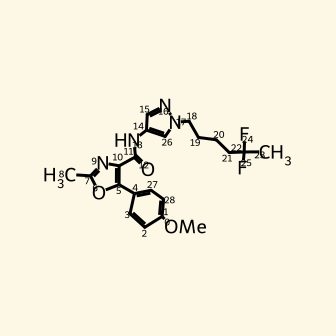 COc1ccc(-c2oc(C)nc2C(=O)Nc2cnn(CCCCC(C)(F)F)c2)cc1